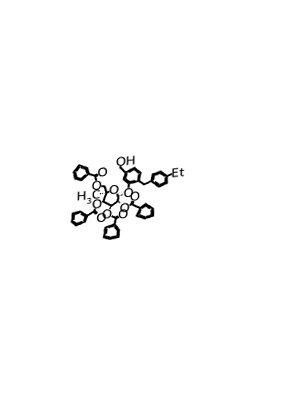 CCc1ccc(Cc2ccc(CO)cc2O[C@H]2O[C@](C)(COC(=O)c3ccccc3)[C@@H](OC(=O)c3ccccc3)[C@H](OC(=O)c3ccccc3)[C@H]2OC(=O)c2ccccc2)cc1